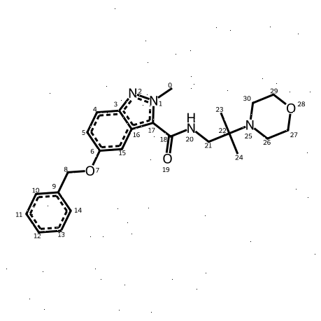 Cn1nc2ccc(OCc3ccccc3)cc2c1C(=O)NCC(C)(C)N1CCOCC1